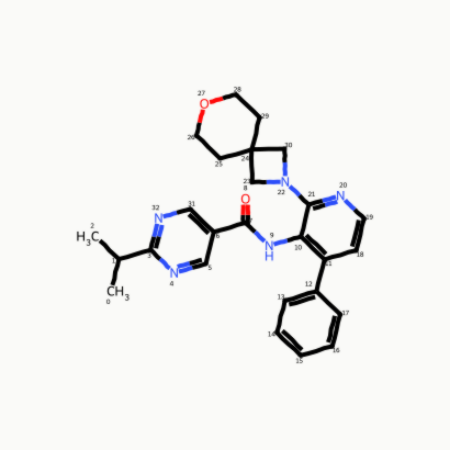 CC(C)c1ncc(C(=O)Nc2c(-c3ccccc3)ccnc2N2CC3(CCOCC3)C2)cn1